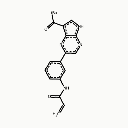 C=CC(=O)Nc1cccc(-c2cnc3[nH]cc(C(=O)C(C)(C)C)c3n2)c1